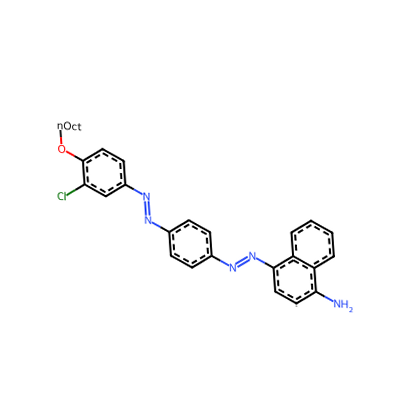 CCCCCCCCOc1ccc(N=Nc2ccc(N=Nc3c[c]c(N)c4ccccc34)cc2)cc1Cl